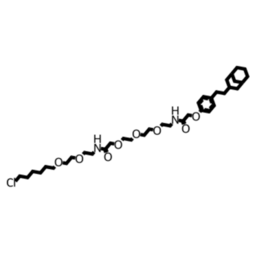 O=C(COCCOCCOCCNC(=O)COc1ccc(CCC2CC3CCCC(C3)C2)cc1)NCCOCCOCCCCCCCl